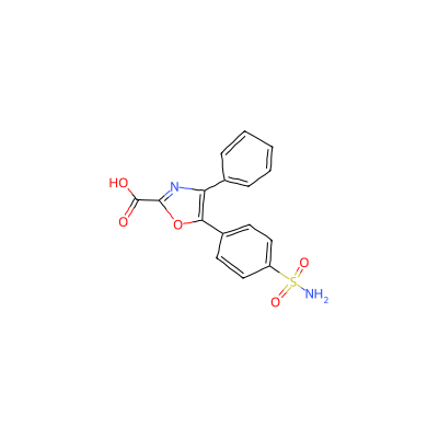 NS(=O)(=O)c1ccc(-c2oc(C(=O)O)nc2-c2ccccc2)cc1